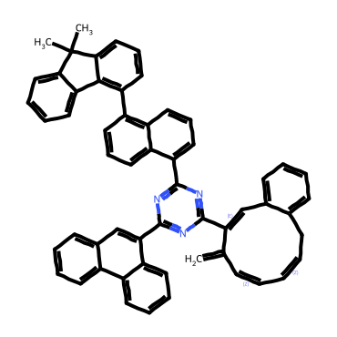 C=C1/C=C\C=C/Cc2ccccc2/C=C\1c1nc(-c2cccc3c(-c4cccc5c4-c4ccccc4C5(C)C)cccc23)nc(-c2cc3ccccc3c3ccccc23)n1